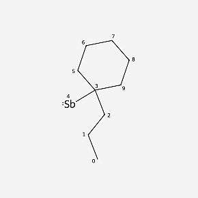 CCC[C]1([Sb])CCCCC1